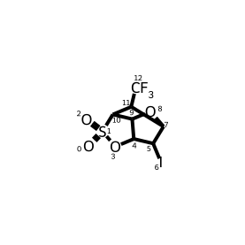 O=S1(=O)OC2C(I)C3OC2C1C3C(F)(F)F